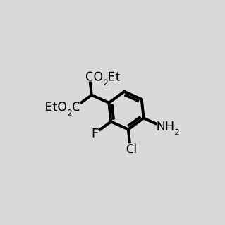 CCOC(=O)C(C(=O)OCC)c1ccc(N)c(Cl)c1F